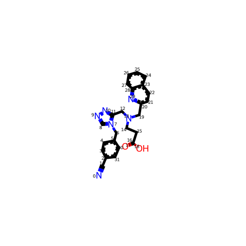 N#Cc1ccc(Cn2cnnc2CN(CCC(=O)O)Cc2ccc3ccccc3n2)cc1